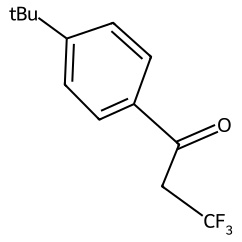 CC(C)(C)c1ccc(C(=O)CC(F)(F)F)cc1